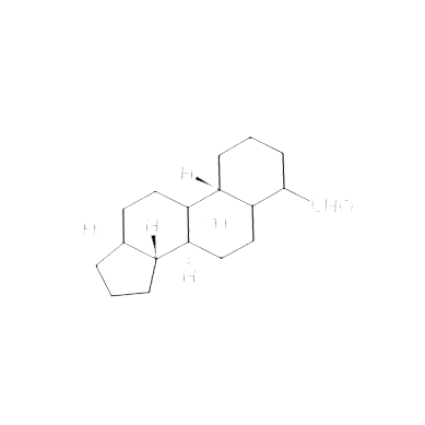 O=CC1CCC[C@@H]2C1CC[C@H]1[C@@H]3CCC[C@H]3CC[C@H]12